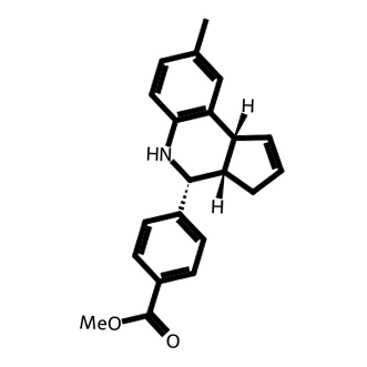 COC(=O)c1ccc([C@@H]2Nc3ccc(C)cc3[C@@H]3C=CC[C@@H]32)cc1